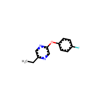 CCc1cnc(Oc2ccc(F)cc2)cn1